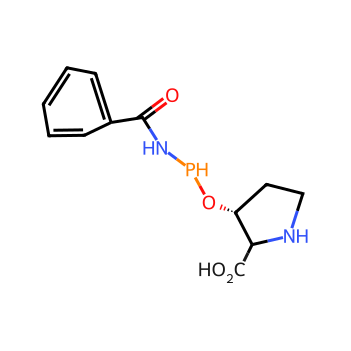 O=C(NPO[C@@H]1CCNC1C(=O)O)c1ccccc1